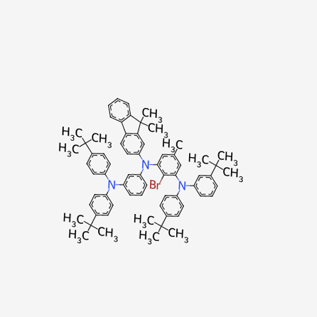 Cc1cc(N(c2ccc(C(C)(C)C)cc2)c2cccc(C(C)(C)C)c2)c(Br)c(N(c2cccc(N(c3ccc(C(C)(C)C)cc3)c3ccc(C(C)(C)C)cc3)c2)c2ccc3c(c2)C(C)(C)c2ccccc2-3)c1